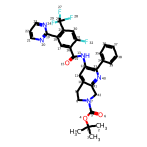 CC(C)(C)OC(=O)N1CCc2cc(NC(=O)c3cc(-c4ncccn4)c(C(F)(F)F)cc3F)c(-c3ccccc3)nc2C1